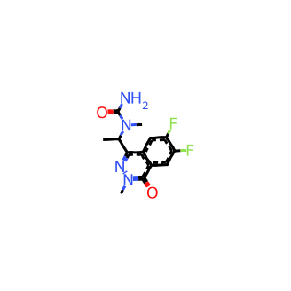 CC(c1nn(C)c(=O)c2cc(F)c(F)cc12)N(C)C(N)=O